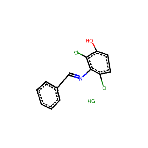 Cl.Oc1ccc(Cl)c(N=Cc2ccccc2)c1Cl